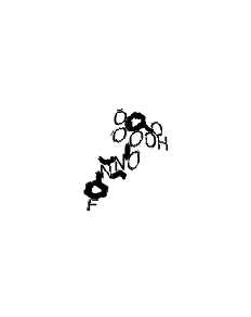 COc1ccc(C(=O)O)c(OCC(=O)N2CC(C)N(Cc3ccc(F)cc3)CC2C)c1OC